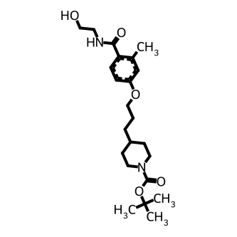 Cc1cc(OCCCC2CCN(C(=O)OC(C)(C)C)CC2)ccc1C(=O)NCCO